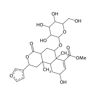 COC(=O)C1=CC(O)CC2C3(C)CC(c4ccoc4)OC(=O)C3CC(OC3OC(CO)C(O)C(O)C3O)C12C